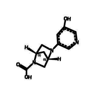 O=C(O)N1C[C@@H]2C[C@H]1CN2c1cncc(O)c1